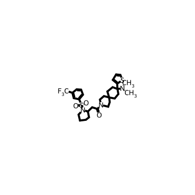 CN(C)C1(c2cccs2)CCC2(CCN(C(=O)CC3CCCCN3S(=O)(=O)c3cccc(C(F)(F)F)c3)CC2)CC1